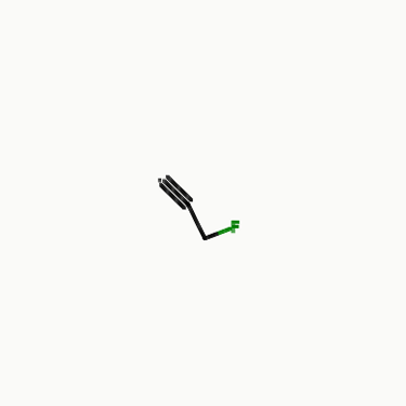 [C]#CCF